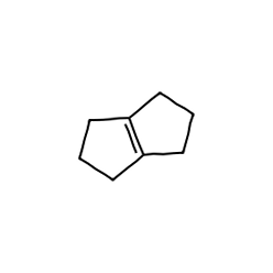 C1CC2=C(C1)CCC2